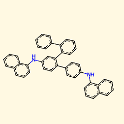 c1ccc(-c2ccccc2-c2cc(Nc3cccc4ccccc34)ccc2-c2ccc(Nc3cccc4ccccc34)cc2)cc1